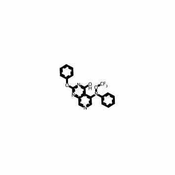 Oc1nc(Oc2ccccc2)nc2cncc(N(OC(F)(F)F)c3ccccc3)c12